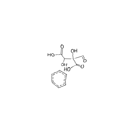 O=CC(O)(C(=O)O)C(O)C(=O)O.c1ccccc1